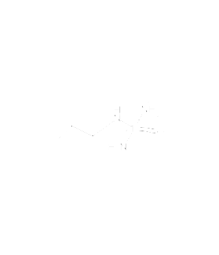 CCCNP(N)(N)=O